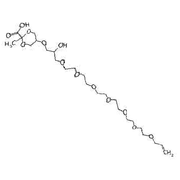 C=CCOCCOCCOCCOCCOCCOCCOCC(O)COC1COC(C)(C(=O)O)OC1